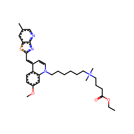 CCOC(=O)CCC[N+](C)(C)CCCCCCN1C=CC(=Cc2nc3ncc(C)cc3s2)c2ccc(OC)cc21